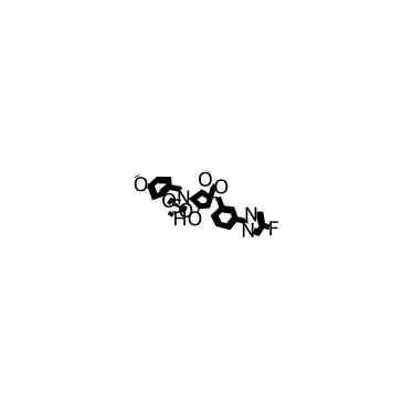 COC(=O)[C@]1(Cc2cccc(-c3ncc(F)cn3)c2)C[C@@H](N(Cc2ccc(OC)cc2)S(C)(=O)=O)[C@@H](O)C1